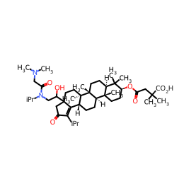 CC(C)C1=C2[C@H]3CC[C@@H]4[C@@]5(C)CC[C@H](OC(=O)CC(C)(C)C(=O)O)C(C)(C)[C@@H]5CC[C@@]4(C)[C@]3(C)CCC2(C(O)CN(C(=O)CN(C)C)C(C)C)CC1=O